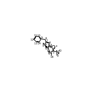 CN(C)C(=[O+]n1cc(Cc2ccccc2)nn1)N(C)C